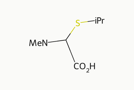 CNC(SC(C)C)C(=O)O